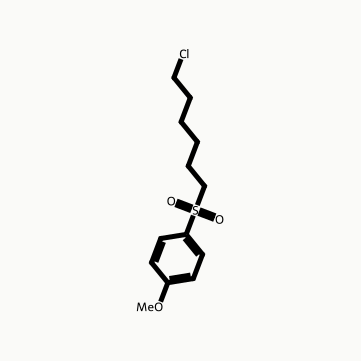 COc1ccc(S(=O)(=O)CCCCCCCl)cc1